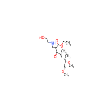 CCOC(=O)/C(=C\NCCO)C(=O)/C(C)=C/C(C)=C(\C=C\OC)OC